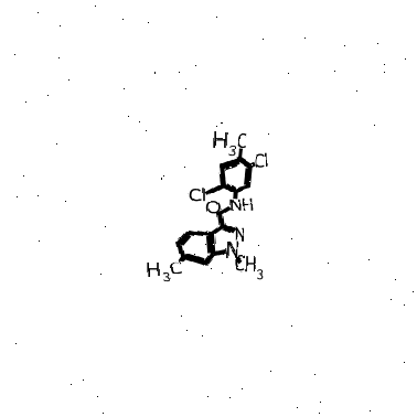 Cc1ccc2c(C(=O)Nc3cc(Cl)c(C)cc3Cl)nn(C)c2c1